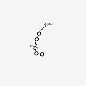 CCn1cc(-c2cccc(-c3ccccc3)c2)nc1/C=C/c1ccc(-c2ccc(OCCCC(=O)OC)cc2)cc1